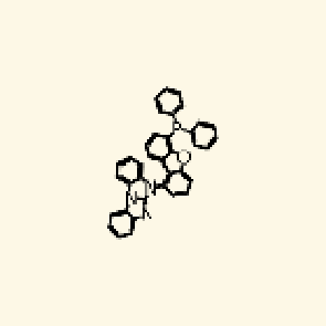 c1ccc(P(c2ccccc2)c2cccc3c2oc2cccc(-n4c5ccccc5n5c6ccccc6nc45)c23)cc1